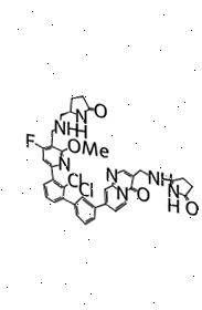 COc1nc(-c2cccc(-c3cccc(-c4ccn5c(=O)c(CNC[C@@H]6CCC(=O)N6)cnc5c4)c3Cl)c2Cl)cc(F)c1CNC[C@H]1CCC(=O)N1